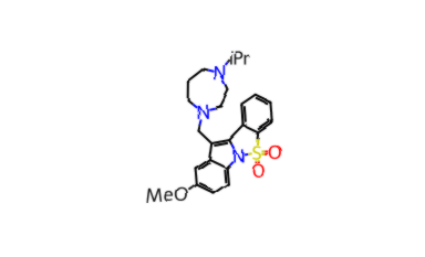 COc1ccc2c(c1)c(CN1CCCN(C(C)C)CC1)c1n2S(=O)(=O)c2ccccc2-1